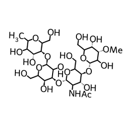 CO[C@@H]1C(O)[C@H](O[C@@H]2C(CO)O[C@@H](O[C@@H]3C(O)[C@H](O[C@@H]4C(CO)OC(C)C(O)[C@H]4O)OC(CO)[C@@H]3O)C(NC(C)=O)[C@H]2O)OC(CO)[C@@H]1O